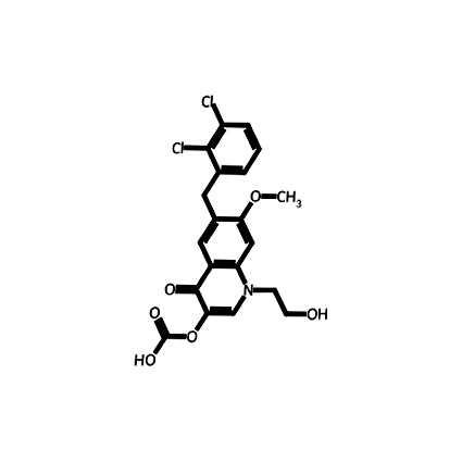 COc1cc2c(cc1Cc1cccc(Cl)c1Cl)c(=O)c(OC(=O)O)cn2CCO